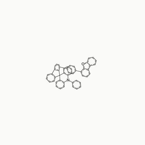 c1ccc(N2c3ccccc3C3(c4ccccc4-c4cccc(-c5ccc(-c6cccc7c6oc6ccccc67)cc5)c43)c3ccccc32)cc1